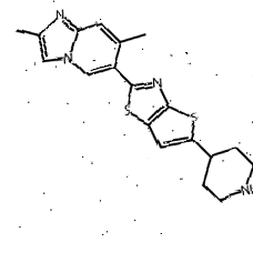 Cc1cn2cc(-c3nc4sc(C5CCNCC5)cc4s3)c(C)cc2n1